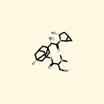 CN(C)C(CS)C(=O)OC12CC3C[C@H](C1)CC([C@H](N)C(=O)N1C4CC4C[C@H]1C#N)(C3)C2